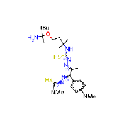 CN/C(S)=N/N=C(/C(C)=N/N=C(\S)NC(C)(C)CCOC(C)(N)C(C)(C)C)c1ccc(NC)cc1